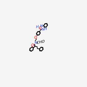 Nc1ccccc1NC(=O)c1ccc(OCCN(C=O)c2oc3ccccc3c2CCc2ccccc2)cc1